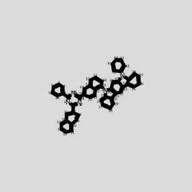 c1ccc(-c2nc(-c3ccc4ccccc4c3)nc(-c3ccc4c(-n5c6ccccc6c6cc7c8ccccc8n(-c8ccccc8)c7cc65)cccc4c3)n2)cc1